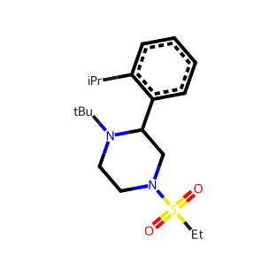 CCS(=O)(=O)N1CCN(C(C)(C)C)C(c2ccccc2C(C)C)C1